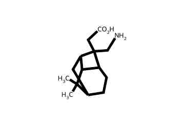 CC1(C)C2CCC3C1C(C2)C3(CN)CC(=O)O